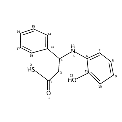 O=C(S)CC(Nc1ccccc1O)c1ccccc1